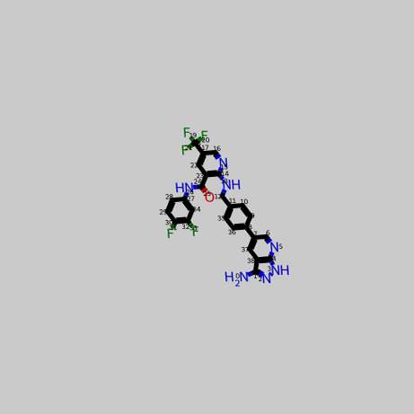 Nc1n[nH]c2ncc(-c3ccc(CNc4ncc(C(F)(F)F)cc4C(=O)Nc4ccc(F)c(F)c4)cc3)cc12